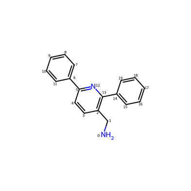 NCc1ccc(-c2ccccc2)nc1-c1ccccc1